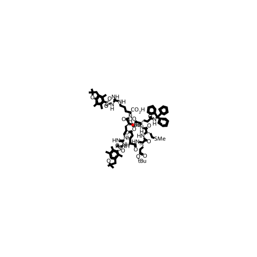 CSCC[C@H](NC(=O)[C@H](CCC(=O)OC(C)(C)C)NC(=O)[C@H](CCC(=O)OC(C)(C)C)NC(C)=O)C(=O)N[C@@H](CCC(=O)NC(c1ccccc1)(c1ccccc1)c1ccccc1)C(=O)N[C@@H](CCCNC(=N)NS(=O)(=O)c1c(C)c(C)c2c(c1C)CC(C)(C)O2)C(=O)N[C@@H](CCCNC(=N)NS(=O)(=O)c1c(C)c(C)c2c(c1C)CC(C)(C)O2)C(=O)O